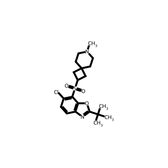 CN1CCC2(CC1)CC(S(=O)(=O)c1c(Cl)ccc3nc(C(C)(C)C)oc13)C2